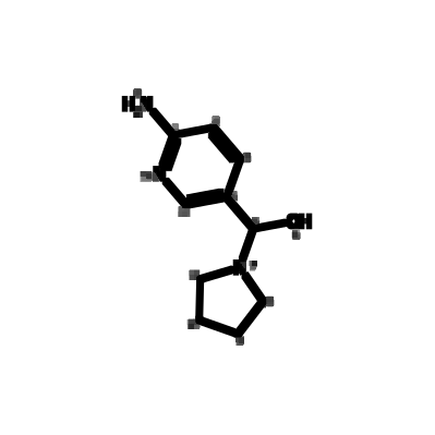 Nc1ccc(C(O)N2[CH]CCC2)cn1